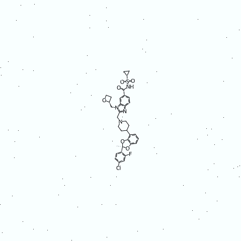 C[C@@]1(c2ccc(Cl)cc2F)Oc2cccc(C3CCN(Cc4nc5ccc(C(=O)NS(=O)(=O)C6CC6)cc5n4C[C@@H]4CCO4)CC3)c2O1